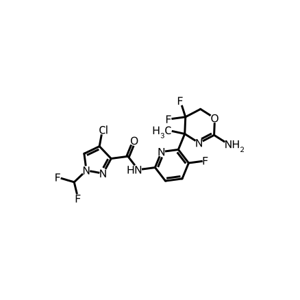 CC1(c2nc(NC(=O)c3nn(C(F)F)cc3Cl)ccc2F)N=C(N)OCC1(F)F